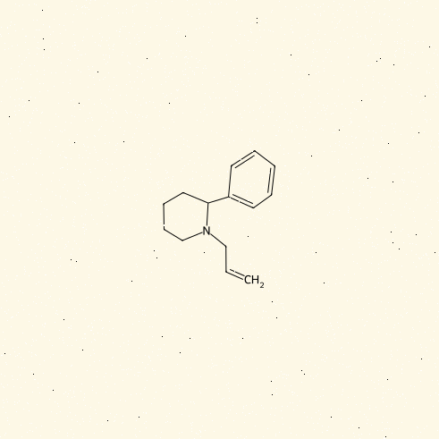 C=CCN1CCCCC1c1ccccc1